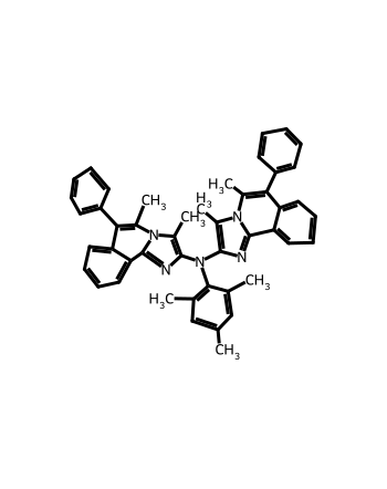 Cc1cc(C)c(N(c2nc3c4ccccc4c(-c4ccccc4)c(C)n3c2C)c2nc3c4ccccc4c(-c4ccccc4)c(C)n3c2C)c(C)c1